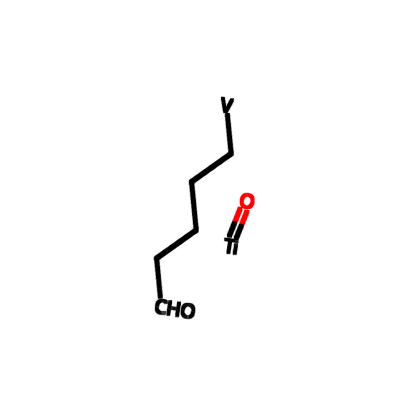 O=CCCC[CH2][V].[O]=[Ti]